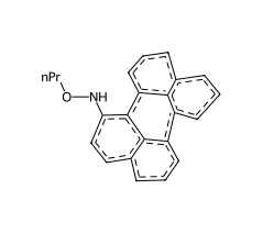 CCCONc1ccc2cccc3c4cccc5cccc(c1c23)c54